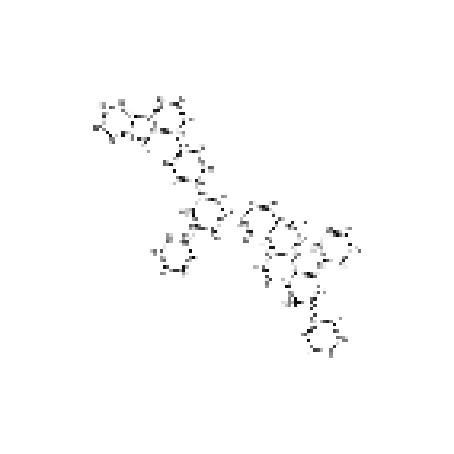 c1ccc(-c2ccc3c(ccc4c5cc(-c6cc(-c7ccc(-c8cccc9c8sc8ccccc89)cc7)nc(-c7ccccc7)n6)ccc5nc(-c5ccccc5)c34)n2)cc1